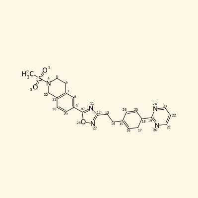 CS(=O)(=O)N1CCc2cc(-c3nc(CCC4=CCC(c5ncccn5)C=C4)no3)ccc2C1